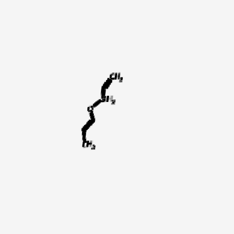 C=C[SiH2]O/C=C/C